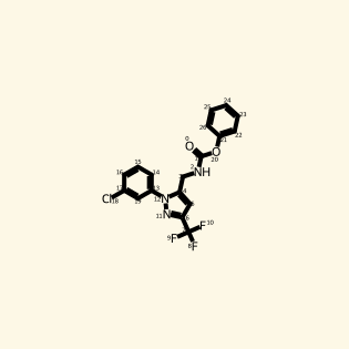 O=C(NCc1cc(C(F)(F)F)nn1-c1cccc(Cl)c1)Oc1ccccc1